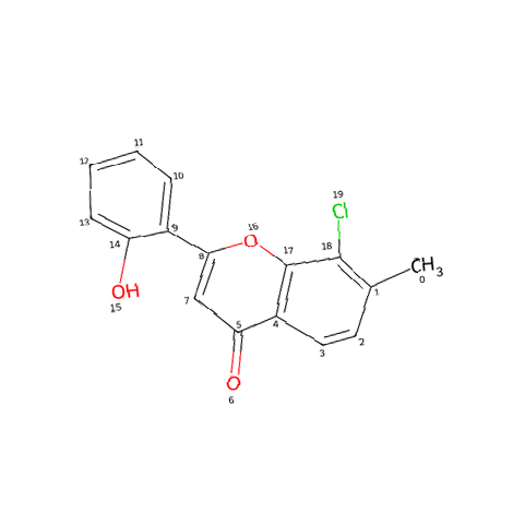 Cc1ccc2c(=O)cc(-c3ccccc3O)oc2c1Cl